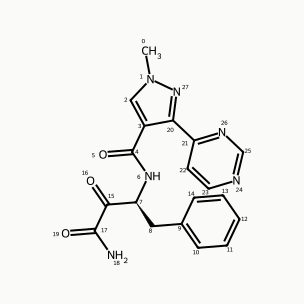 Cn1cc(C(=O)N[C@@H](Cc2ccccc2)C(=O)C(N)=O)c(-c2ccncn2)n1